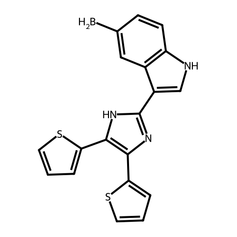 Bc1ccc2[nH]cc(-c3nc(-c4cccs4)c(-c4cccs4)[nH]3)c2c1